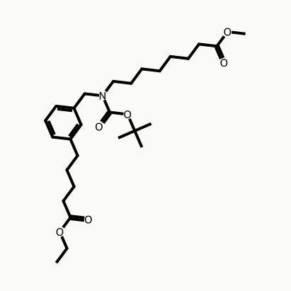 CCOC(=O)CCCCc1cccc(CN(CCCCCCCC(=O)OC)C(=O)OC(C)(C)C)c1